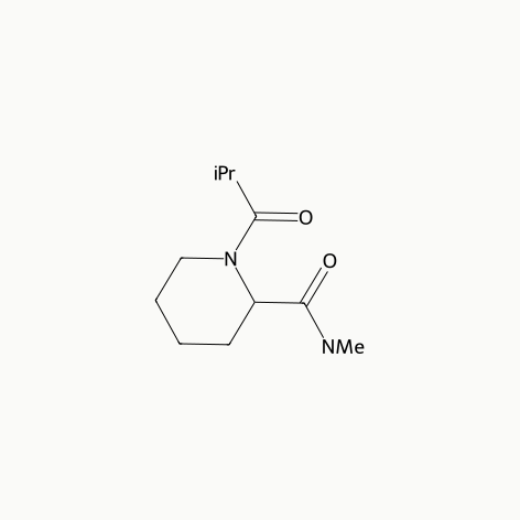 CNC(=O)C1CCCCN1C(=O)C(C)C